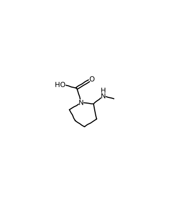 CNC1CCCCN1C(=O)O